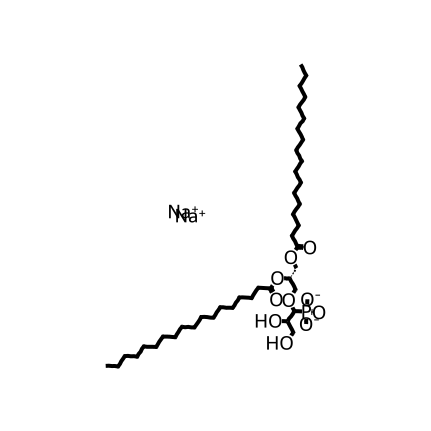 CCCCCCCCCCCCCCCCCC(=O)OC[C@H](COC(C(O)CO)P(=O)([O-])[O-])OC(=O)CCCCCCCCCCCCCCCCC.[Na+].[Na+]